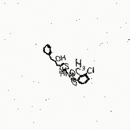 Cc1c(Cl)cccc1S(=O)(=O)Nc1nc(C[C@@H](O)Cc2ccccc2)cs1